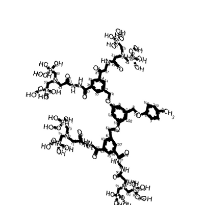 Cc1ccc(OCc2cc(OCc3cc(C(=O)CNC(=O)CN(C[PH](O)(O)OO)C[PH](O)(O)OO)cc(C(=O)NNC(=O)CN(C[PH](O)(O)OO)C[PH](O)(O)OO)c3)cc(OCc3cc(C(=O)NNC(=O)CN(C[PH](O)(O)OO)C[PH](O)(O)OO)cc(C(=O)NNC(=O)CN(C[PH](O)(O)OO)C[PH](O)(O)OO)c3)c2)cc1